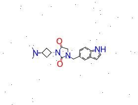 CN(C)[C@H]1C[C@H](N2C(=O)CN(Cc3ccc4[nH]ccc4c3)C2=O)C1